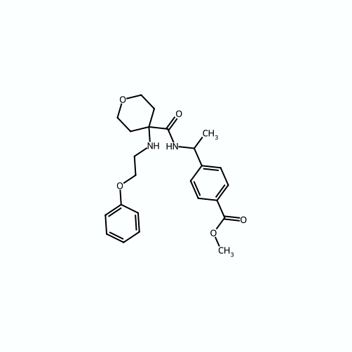 COC(=O)c1ccc(C(C)NC(=O)C2(NCCOc3ccccc3)CCOCC2)cc1